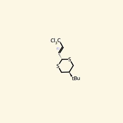 CC(C)(C)[C@H]1CS[C@H](/C=C/C(Cl)(Cl)Cl)SC1